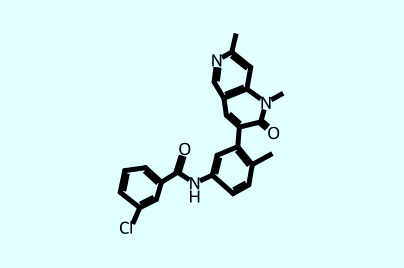 Cc1cc2c(cn1)cc(-c1cc(NC(=O)c3cccc(Cl)c3)ccc1C)c(=O)n2C